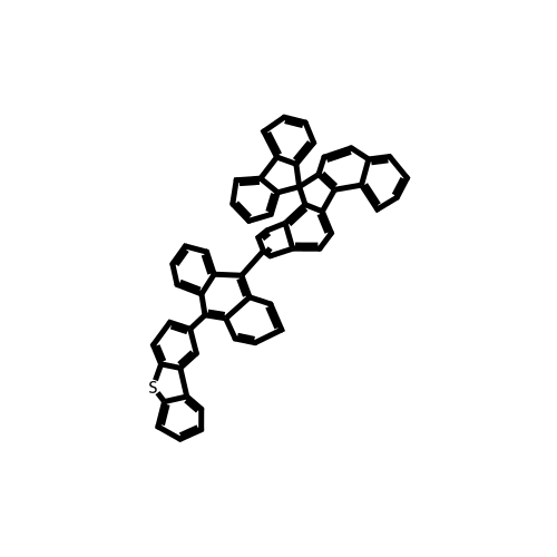 c1ccc2c(c1)-c1ccccc1C21c2ccc3ccccc3c2-c2ccc3cc(-c4c5ccccc5c(-c5ccc6sc7ccccc7c6c5)c5ccccc45)ccc3c21